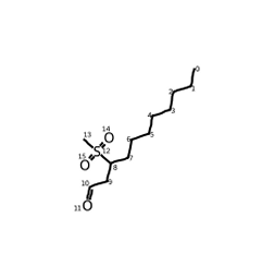 CCCCCCCCC(CC=O)S(C)(=O)=O